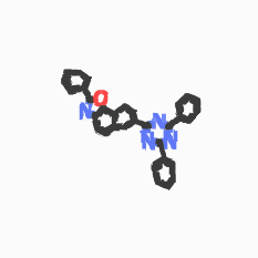 c1ccc(-c2nc(-c3ccccc3)nc(-c3ccc4c(ccc5nc(-c6ccccc6)oc54)c3)n2)cc1